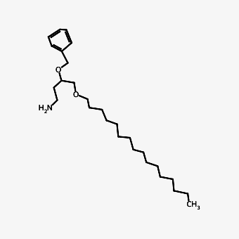 CCCCCCCCCCCCCCCCOCC(CCN)OCc1ccccc1